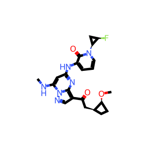 CNc1cc(Nc2cccn([C@@H]3C[C@H]3F)c2=O)nc2c(C(=O)C[C@@H]3CC[C@H]3OC)cnn12